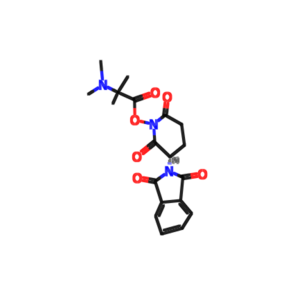 CN(C)C(C)(C)C(=O)ON1C(=O)CC[C@H](N2C(=O)c3ccccc3C2=O)C1=O